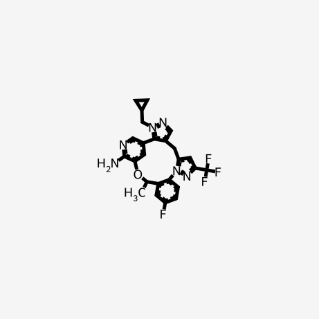 CC1Oc2cc(cnc2N)-c2c(cnn2CC2CC2)Cc2cc(C(F)(F)F)nn2-c2ccc(F)cc21